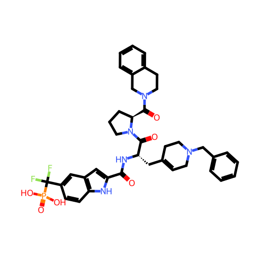 O=C(N[C@@H](CC1=CCN(Cc2ccccc2)CC1)C(=O)N1CCC[C@H]1C(=O)N1CCc2ccccc2C1)c1cc2cc(C(F)(F)P(=O)(O)O)ccc2[nH]1